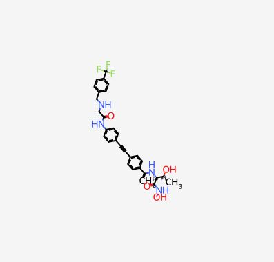 C=C(N[C@H](C(=O)NO)[C@@H](C)O)c1ccc(C#Cc2ccc(NC(=O)CNCc3ccc(C(F)(F)F)cc3)cc2)cc1